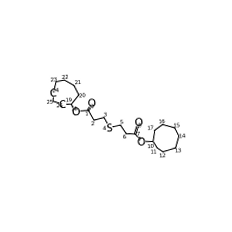 O=C(CCSCCC(=O)OC1CCCCCCC1)OC1CCCCCCC1